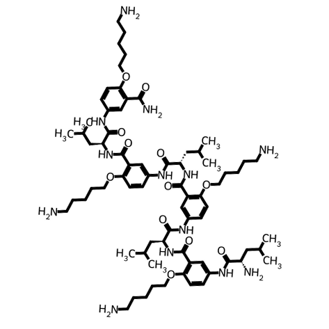 CC(C)C[C@H](NC(=O)c1cc(NC(=O)[C@H](CC(C)C)NC(=O)c2cc(NC(=O)[C@H](CC(C)C)NC(=O)c3cc(NC(=O)[C@@H](N)CC(C)C)ccc3OCCCCCN)ccc2OCCCCCN)ccc1OCCCCCN)C(=O)Nc1ccc(OCCCCCN)c(C(N)=O)c1